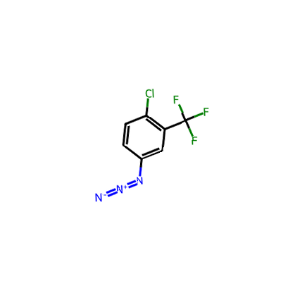 [N-]=[N+]=Nc1ccc(Cl)c(C(F)(F)F)c1